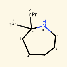 CCCC1(CCC)CCCCCN1